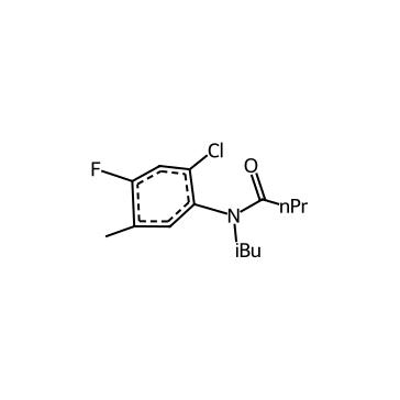 CCCC(=O)N(c1cc(C)c(F)cc1Cl)C(C)CC